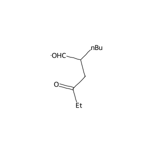 CCCCC([C]=O)CC(=O)CC